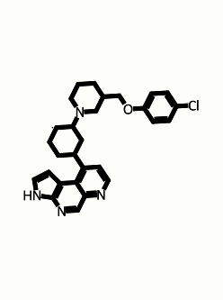 Clc1ccc(OCC2CCCN(C3[CH]CCC(c4ccnc5cnc6[nH]ccc6c45)C3)C2)cc1